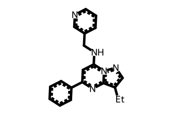 CCc1cnn2c(NCc3cccnc3)cc(-c3ccccc3)nc12